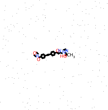 C[C@H](O)c1nccn1Cc1cc(-c2ccc(C#Cc3ccc(C(=O)N4CCOCC4)cc3)cc2)on1